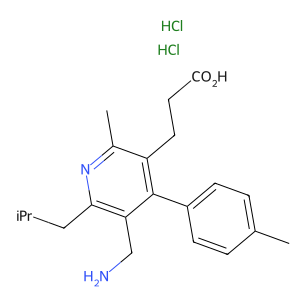 Cc1ccc(-c2c(CCC(=O)O)c(C)nc(CC(C)C)c2CN)cc1.Cl.Cl